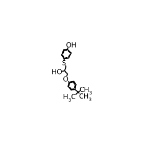 CC(C)(C)c1ccc(OCC(O)CSc2ccc(O)cc2)cc1